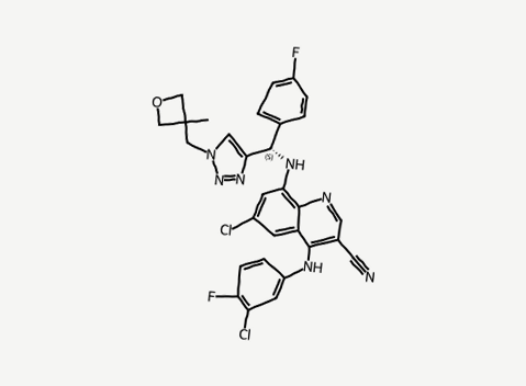 CC1(Cn2cc([C@@H](Nc3cc(Cl)cc4c(Nc5ccc(F)c(Cl)c5)c(C#N)cnc34)c3ccc(F)cc3)nn2)COC1